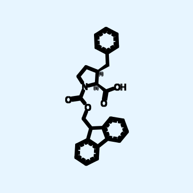 O=C(O)[C@@H]1[C@H](Cc2ccccc2)CCN1C(=O)OCC1c2ccccc2-c2ccccc21